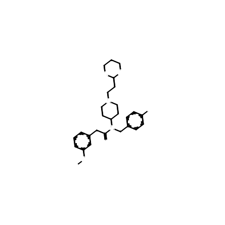 COc1cccc(CC(=O)N(Cc2ccc(F)cc2)C2CCN(CCC3OCCCO3)CC2)c1